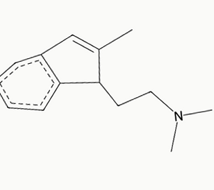 CC1=Cc2ccccc2C1CCN(C)C